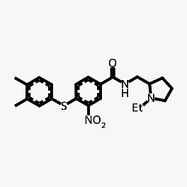 CCN1CCCC1CNC(=O)c1ccc(Sc2ccc(C)c(C)c2)c([N+](=O)[O-])c1